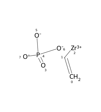 C=[CH][Zr+3].O=P([O-])([O-])[O-]